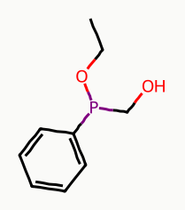 CCOP(CO)c1ccccc1